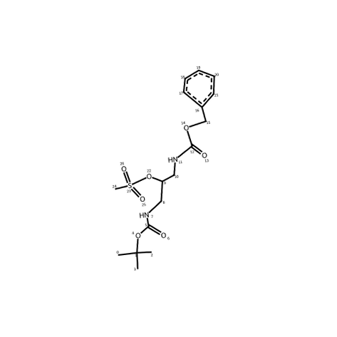 CC(C)(C)OC(=O)NCC(CNC(=O)OCc1ccccc1)OS(C)(=O)=O